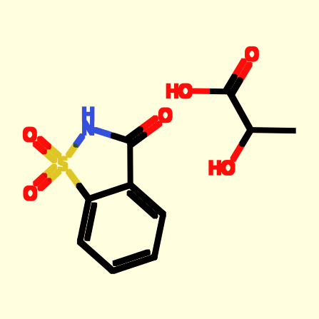 CC(O)C(=O)O.O=C1NS(=O)(=O)c2ccccc21